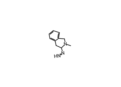 CN1Cc2ccccc2CC1N=N